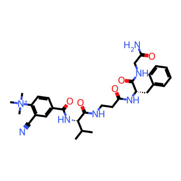 CC(C)[C@H](NC(=O)c1ccc([N+](C)(C)C)c(C#N)c1)C(=O)NCCC(=O)N[C@@H](Cc1ccccc1)C(=O)NCC(N)=O